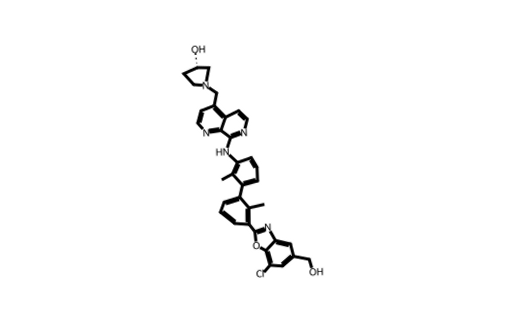 Cc1c(Nc2nccc3c(CN4CC[C@H](O)C4)ccnc23)cccc1-c1cccc(-c2nc3cc(CO)cc(Cl)c3o2)c1C